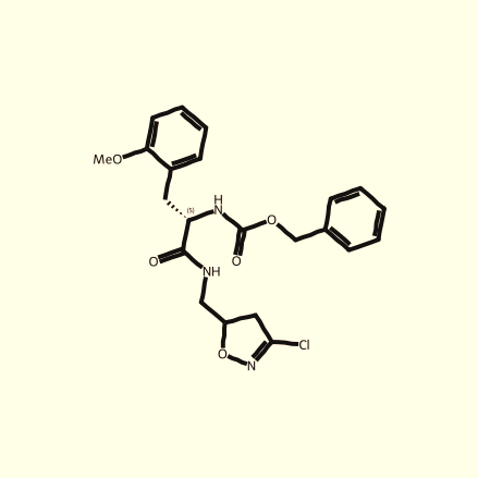 COc1ccccc1C[C@H](NC(=O)OCc1ccccc1)C(=O)NCC1CC(Cl)=NO1